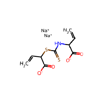 C=CC(NC(=S)SC(C=C)C(=O)[O-])C(=O)[O-].[Na+].[Na+]